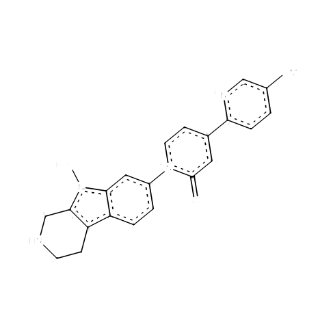 CSc1ccc(-c2ccn(-c3ccc4c5c(n(C)c4c3)CNCC5)c(=O)c2)nc1